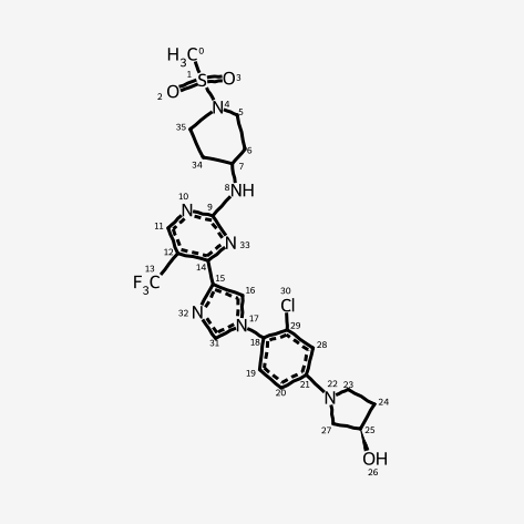 CS(=O)(=O)N1CCC(Nc2ncc(C(F)(F)F)c(-c3cn(-c4ccc(N5CC[C@@H](O)C5)cc4Cl)cn3)n2)CC1